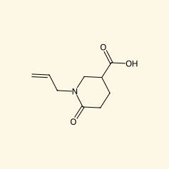 C=CCN1CC(C(=O)O)CCC1=O